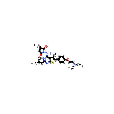 CC1=CC(=O)N(Nc2nc(CC(C)C)nc3sc(-c4ccc(OCCN(C)C)cc4)c(C)c23)C1=O